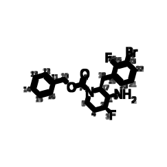 N[C@H]1[C@@H](F)CCN(C(=O)OCc2ccccc2)[C@H]1Cc1cccc(Br)c1F